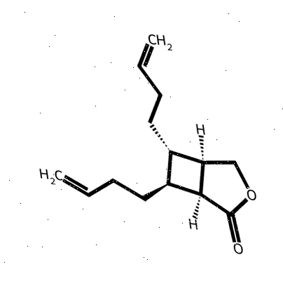 C=CCC[C@@H]1[C@H]2COC(=O)[C@H]2[C@H]1CCC=C